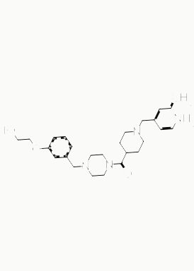 C=C/C=C(\C=C/N)CN1CCC(C(=O)N2CCN(Cc3cccc(OCCO)c3)CC2)CC1